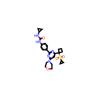 O=C(Nc1ccc(-c2nc(N3CCOCC3)cc(C3(S(=O)(=O)C4CC4)CCC3)n2)cc1)NC1CC1